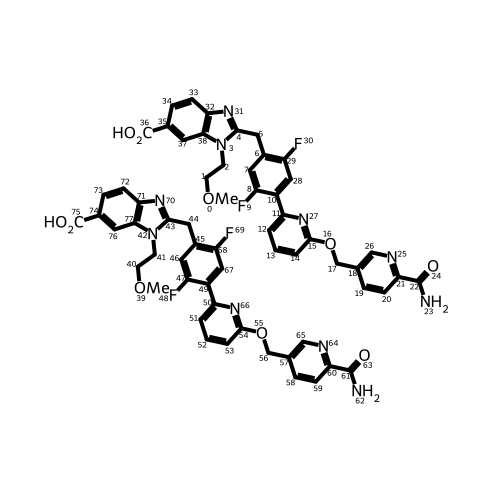 COCCn1c(Cc2cc(F)c(-c3cccc(OCc4ccc(C(N)=O)nc4)n3)cc2F)nc2ccc(C(=O)O)cc21.COCCn1c(Cc2cc(F)c(-c3cccc(OCc4ccc(C(N)=O)nc4)n3)cc2F)nc2ccc(C(=O)O)cc21